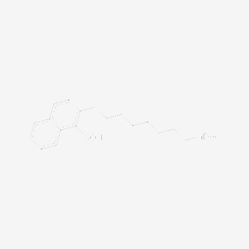 CCCCCCCCCCCCCCCCCCc1ccc2ccccc2c1S(=O)(=O)O